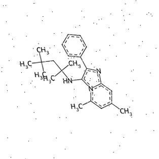 Cc1cc(C)n2c(NC(C)(C)CC(C)(C)C)c(-c3ccccc3)nc2c1